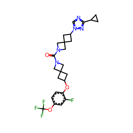 O=C(N1CC2(CC(Oc3ccc(OC(F)(F)F)cc3F)C2)C1)N1CC2(CC(n3cnc(C4CC4)n3)C2)C1